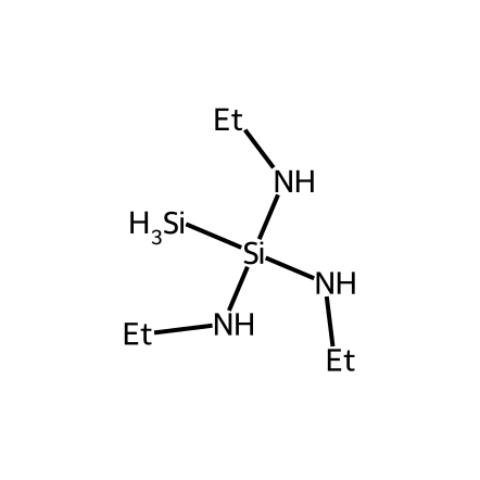 CCN[Si]([SiH3])(NCC)NCC